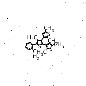 Cc1cc(-c2sc(-c3ccccc3C)c(C)c2-c2cc(C)sc2C)c(C)s1